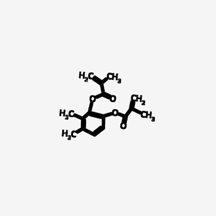 C=C(C)C(=O)Oc1ccc(C)c(C)c1OC(=O)C(=C)C